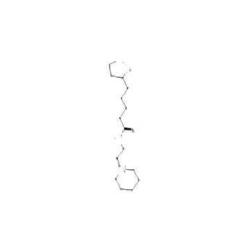 O=C(CCCCC1CCSS1)OCCN1CCCCC1